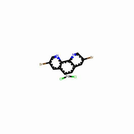 Brc1cnc2c(ccc3cc(Br)cnc32)c1.[Cl][Pd][Cl]